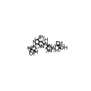 CC(C)c1cnc(N2C[C@H]3COC[C@H]3C2)c2cnc(Nc3ccnc(N4CC[C@@H](O)[C@@](C)(F)C4)n3)cc12